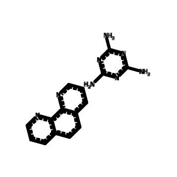 Nc1nc(N)nc(N)n1.c1cnc2c(c1)ccc1cccnc12